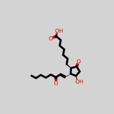 CCCCCC(=O)C=C[C@H]1[C@H](O)CC(=O)[C@@H]1CCCCCCC(=O)O